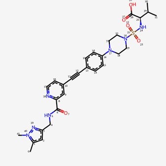 Cc1cc(CNC(=O)c2cc(C#Cc3ccc(N4CCN(S(=O)(=O)N[C@@H](C(=O)O)C(C)C)CC4)cc3)ccn2)nn1C